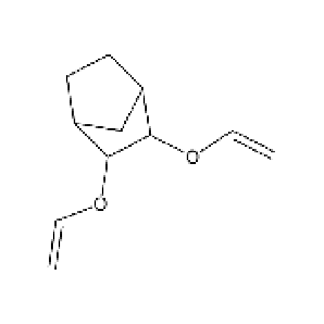 C=COC1C2CCC(C2)C1OC=C